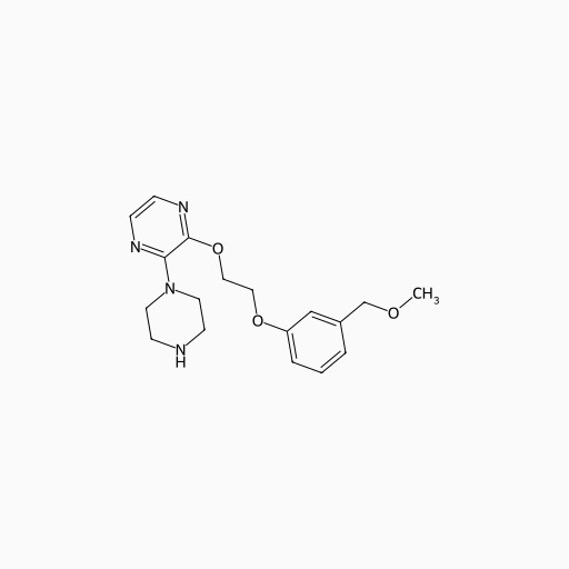 COCc1cccc(OCCOc2nccnc2N2CCNCC2)c1